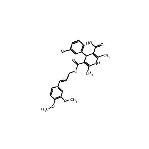 COc1ccc(/C=C/COC(=O)C2=C(C)NC(C)=C(C(=O)O)C2c2cccc(Cl)c2)cc1OC